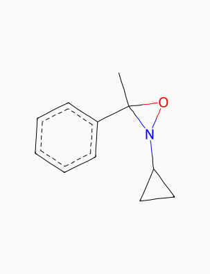 CC1(c2ccccc2)ON1C1CC1